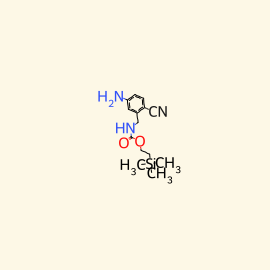 C[Si](C)(C)CCOC(=O)NCc1cc(N)ccc1C#N